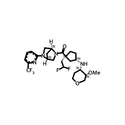 CO[C@@H]1COCC[C@@H]1N[C@H]1CC[C@](CC(F)F)(C(=O)N2C[C@@H]3C[C@H]2CN3c2cccc(C(F)(F)F)n2)C1